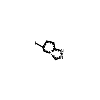 Ic1ccc2nncn2c1